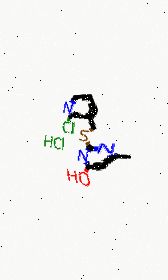 Cc1cc(O)nc(SCc2cccnc2Cl)n1.Cl